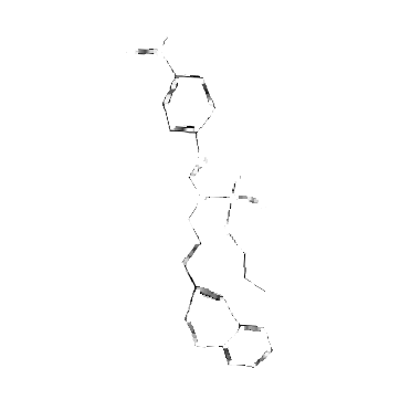 CCCSP(=O)(O)N(C=Nc1ccc([N+](=O)[O-])cc1)CC=Cc1ccc2ccccc2c1